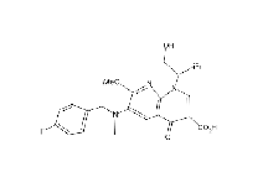 COc1nc2c(cc1N(C)Cc1ccc(F)cc1)c(=O)c(C(=O)O)cn2C(CO)C(C)C